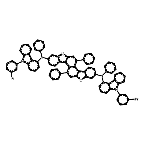 CC(C)c1cccc(-n2c3ccccc3c3c(N(c4ccccc4)c4ccc5c(c4)oc4cc(-c6ccccc6)c6c(c(-c7ccccc7)cc7oc8cc(N(c9ccccc9)c9cccc%10c9c9ccccc9n%10-c9cccc(C(C)C)c9)ccc8c76)c45)cccc32)c1